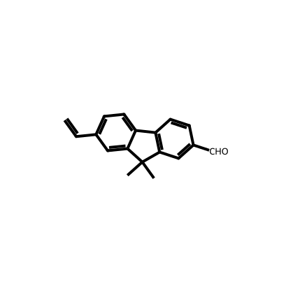 C=Cc1ccc2c(c1)C(C)(C)c1cc(C=O)ccc1-2